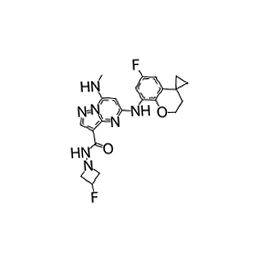 CNc1cc(Nc2cc(F)cc3c2OCCC32CC2)nc2c(C(=O)NN3CC(F)C3)cnn12